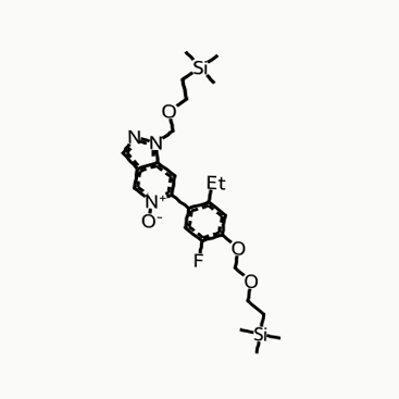 CCc1cc(OCOCC[Si](C)(C)C)c(F)cc1-c1cc2c(cnn2COCC[Si](C)(C)C)c[n+]1[O-]